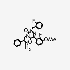 COc1cccc(-c2nn(Cc3ccccc3F)c(=O)n(CC(N)c3ccccc3)c2=O)c1F